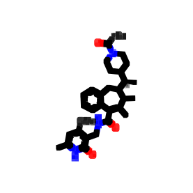 CCCCC(=O)N1CCC([C@@H](C)C2Cc3ccccc3C(C(=O)NCc3c(OC)cc(C)[nH]c3=O)=C(C)C2C)CC1